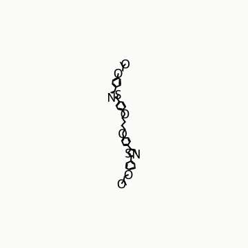 c1cc(-c2cnc(-c3ccc(OCC4CO4)cc3)s2)ccc1OCCCCOc1ccc(-c2ncc(-c3ccc(OCC4CO4)cc3)s2)cc1